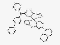 c1ccc(-c2ccc(N(c3ccccc3)c3ccc4c(c3)C3(c5ccccc5Oc5cc(-c6cccc7ccccc67)ccc53)c3ccccc3-4)cc2)cc1